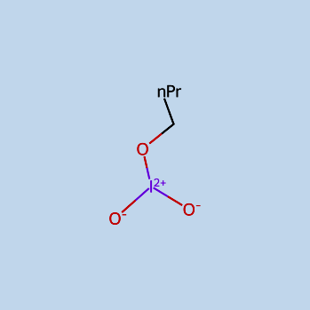 CCCCO[I+2]([O-])[O-]